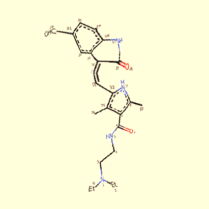 CCN(CC)CCNC(=O)c1c(C)[nH]c(/C=C2\C(=O)Nc3ccc(C=O)cc32)c1C